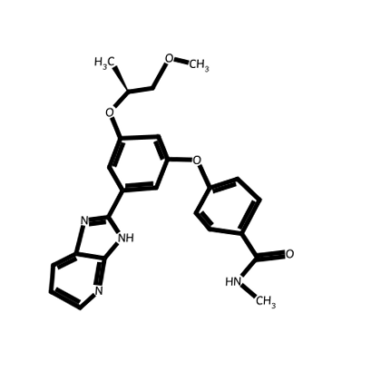 CNC(=O)c1ccc(Oc2cc(O[C@@H](C)COC)cc(-c3nc4cccnc4[nH]3)c2)cc1